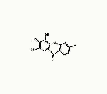 Cc1ccc(C(=O)c2cc(O)c(O)c([N+](=O)[O-])c2)c(Cl)n1